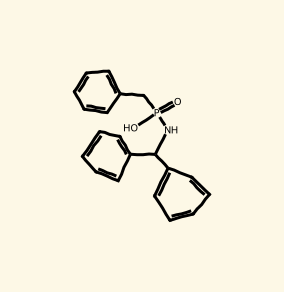 O=P(O)(Cc1ccccc1)NC(c1ccccc1)c1ccccc1